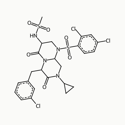 CS(=O)(=O)NC1CN(S(=O)(=O)c2ccc(Cl)cc2Cl)C2CN(C3CC3)C(=O)C(Cc3cccc(Cl)c3)N2C1=O